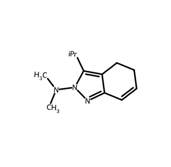 CC(C)c1c2c(nn1N(C)C)C=CCC2